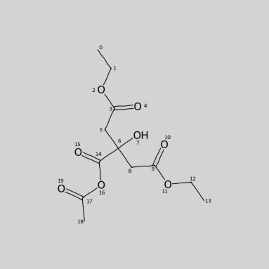 CCOC(=O)CC(O)(CC(=O)OCC)C(=O)OC(C)=O